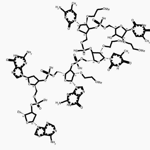 CC[C@H]1O[C@@H](n2cnc3c(N)ncnc32)CC1OP(=O)(S)OC[C@H]1O[C@@H](n2cnc3c(=O)[nH]c(N)nc32)CC1OP(=O)(S)OC[C@H]1O[C@@H](n2cnc3c(=O)[nH]c(N)nc32)[C@@H](OCCOC)C1OP(=O)(O)OC[C@H]1O[C@@H](n2cc(C)c(=O)[nH]c2=O)[C@@H](OCCOC)C1OP(=O)(S)OC[C@H]1O[C@H](n2cc(C)c(N)nc2=O)[C@@H](OCCOC)C1OP(=O)(S)OC[C@H]1O[C@@H](n2cc(C)c(=O)[nH]c2=O)[C@@H](OCCOC)C1O